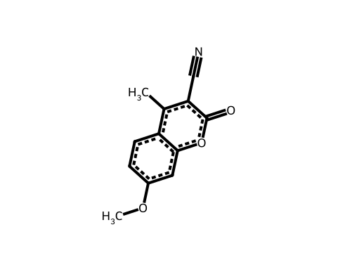 COc1ccc2c(C)c(C#N)c(=O)oc2c1